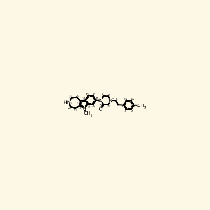 Cc1ccc(CCN2CCN(c3ccc4c5c(n(C)c4c3)CCNCC5)C(=O)C2)cc1